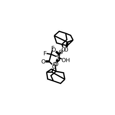 O=C(COC12CC3CC(C1)C(OC(=O)C(F)(F)S(=O)(=O)O)C(C3)C2)OC12CC3CC(C1)C(=O)C(C3)C2